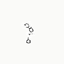 C[C@@]1(c2cc(NC(=O)OCc3ccccc3)ccc2F)CC(=O)CC(=O)N1